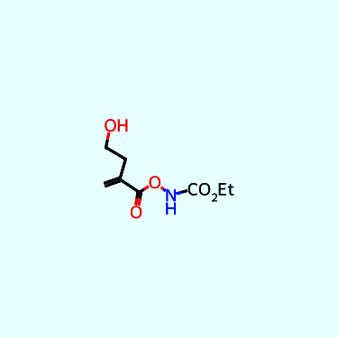 C=C(CCO)C(=O)ONC(=O)OCC